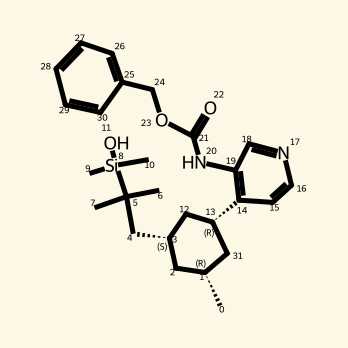 C[C@@H]1C[C@H](CC(C)(C)[Si](C)(C)O)C[C@H](c2ccncc2NC(=O)OCc2ccccc2)C1